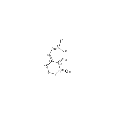 O=C1CCSC2=CC=C(I)CC=C12